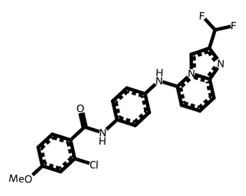 COc1ccc(C(=O)Nc2ccc(Nc3cccc4nc(C(F)F)cn34)cc2)c(Cl)c1